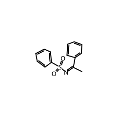 C/C(=N/S(=O)(=O)c1ccccc1)c1ccccc1